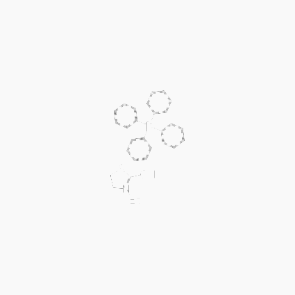 CC[N+]1=C(C)SCC1.c1ccc([B-](c2ccccc2)(c2ccccc2)c2ccccc2)cc1